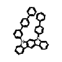 c1ccc(-c2ccc(-c3cccc(-n4c5ccccc5c5cc6c7ccccc7n(-c7ccc(-c8ccccc8)cc7)c6cc54)c3)cc2)cc1